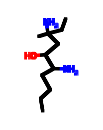 CCCCC(N)C(O)CC(C)(N)CC